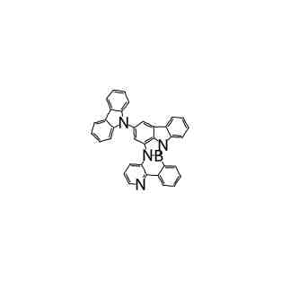 c1ccc2c(c1)B1N(c3cccnc3-2)c2cc(-n3c4ccccc4c4ccccc43)cc3c4ccccc4n1c23